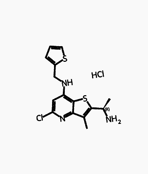 Cc1c([C@@H](C)N)sc2c(NCc3cccs3)cc(Cl)nc12.Cl